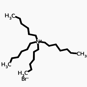 CCCCCCC[N+](CCCCCC)(CCCCCC)CCCCCC.[Br-]